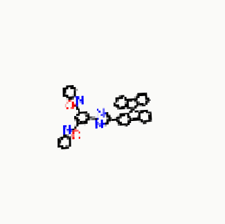 c1ccc2c(c1)-c1ccccc1C21c2ccccc2-c2ccc(-c3cnc(-c4cc(-c5nc6ccccc6o5)cc(-c5nc6ccccc6o5)c4)nc3)cc21